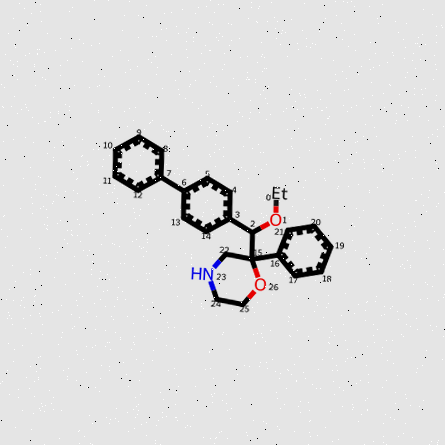 CCOC(c1ccc(-c2ccccc2)cc1)C1(c2ccccc2)CNCCO1